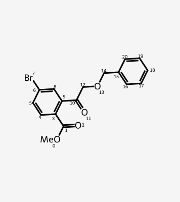 COC(=O)c1ccc(Br)cc1C(=O)COCc1ccccc1